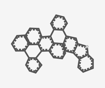 c1ccc(-c2ccccc2-c2c3ccccc3c(-c3ccccc3-c3ccc4c(c3)oc3ccccc34)c3ccccc23)cc1